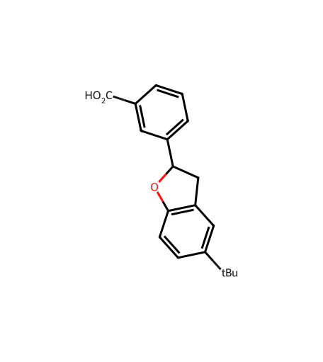 CC(C)(C)c1ccc2c(c1)CC(c1cccc(C(=O)O)c1)O2